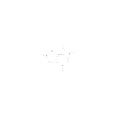 O=C1N=C2C(=O)N3OC2(N1)N(S(=O)(=O)O)C3=O